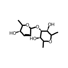 CC1OC(O[C@@H]2[C@H](O)C(C)OC(C)[C@@H]2O)C=C[C@H]1O